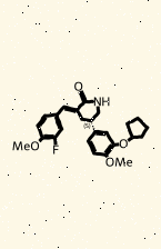 COc1ccc(C=C2C[C@@H](c3ccc(OC)c(OC4CCCC4)c3)CNC2=O)cc1F